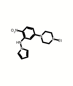 CCN1CCN(c2ccc([N+](=O)[O-])c(Nn3cccc3)c2)CC1